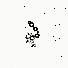 COC1(c2ccc(Cl)c(Cc3ccc(C4CCC5(CCC5)CC4)cc3)c2)O[C@H](COC(C)=O)[C@@H](OC(C)=O)[C@H](O)[C@H]1OC(C)=O